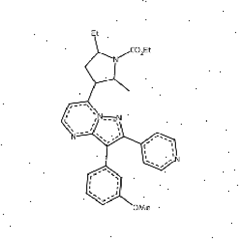 CCOC(=O)N1C(CC)CC(c2ccnc3c(-c4cccc(OC)c4)c(-c4ccncc4)nn23)C1C